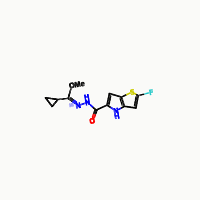 CO/C(=N\NC(=O)c1cc2sc(F)cc2[nH]1)C1CC1